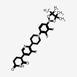 CC1(C)OB(c2ccc(N3CCC(c4ncc(C5CCC(=O)NC5=O)cc4F)CC3)c(F)c2F)OC1(C)C